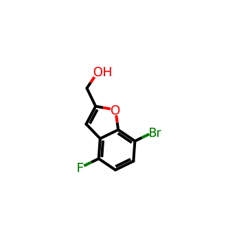 OCc1cc2c(F)ccc(Br)c2o1